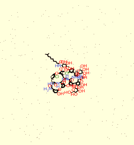 CC(=O)N[C@H]1[C@H](O[C@@H]2c3ccc(c(Cl)c3)Oc3cc4cc(c3O[C@@H]3O[C@H](CO)[C@@H](O)[C@H](O)[C@H]3NC(=O)CCCCCCCC(C)C)Oc3ccc(cc3Cl)C[C@H]3NC(=O)[C@H](N)c5ccc(O)c(c5)Oc5cc(O)cc(c5)[C@H](NC3=O)C(=O)N[C@H]4C(=O)N[C@H]3C(=O)N[C@@H]2C(=O)N[C@@H](C(=O)O)c2cc(O)cc(O[C@H]4O[C@H](CO)[C@@H](O)[C@H](O)[C@@H]4O)c2-c2cc3ccc2O)O[C@H](CO)[C@@H](O)[C@@H]1O